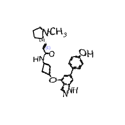 CN1CCC[C@H]1/C=C/C(=O)NC1CC(Oc2cc(-c3ccc(O)cc3)cc3[nH]ncc23)C1